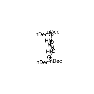 CCCCCCCCCCCCC(CCCCCCCCCC)COC(=O)CCCCCNC(=O)CCN(C)CCCN(C)CCC(=O)NCCCCCC(=O)OCC(CCCCCCCCCC)CCCCCCCCCCCC